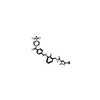 Cc1c(CNC(=O)c2cc(C3CC3)nn2C)cccc1OCc1ccc(C(=O)N2CCN(S(C)(=O)=O)CC2)cc1